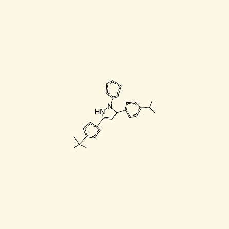 CC(C)c1ccc(C2C=C(c3ccc(C(C)(C)C)cc3)NN2c2ccccc2)cc1